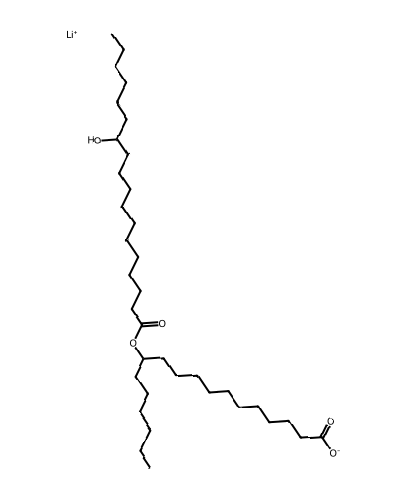 CCCCCCC(O)CCCCCCCCCCC(=O)OC(CCCCCC)CCCCCCCCCCC(=O)[O-].[Li+]